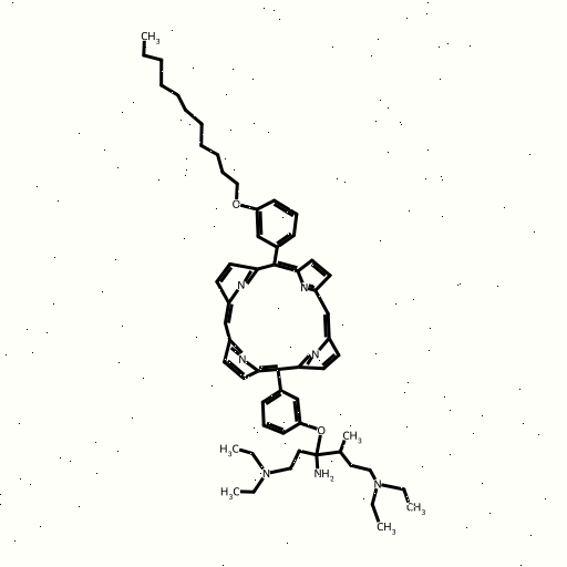 CCCCCCCCCCCOc1cccc(C2=C3C=CC(=N3)C=C3C=CC(=N3)C(c3cccc(OC(N)(CCN(CC)CC)C(C)CCN(CC)CC)c3)=C3C=CC(=N3)C=C3C=CC2=N3)c1